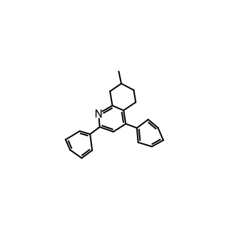 CC1CCc2c(-c3ccccc3)cc(-c3ccccc3)nc2C1